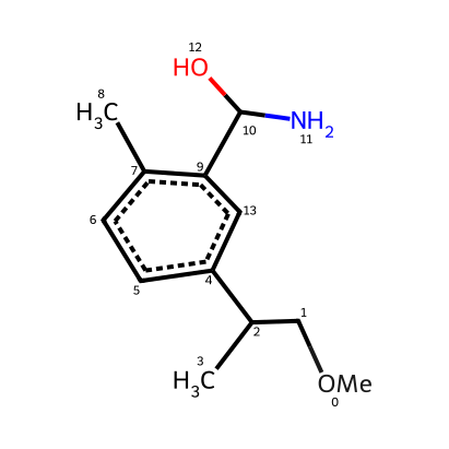 COCC(C)c1ccc(C)c(C(N)O)c1